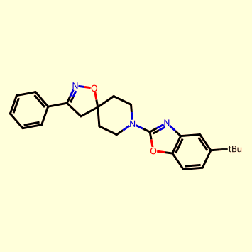 CC(C)(C)c1ccc2oc(N3CCC4(CC3)CC(c3ccccc3)=NO4)nc2c1